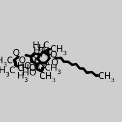 CCCCCCCCCCCC(=O)O[C@@]12C[C@@H](C)[C@]34C=C(C)[C@H](O)[C@@]3(O)[C@H](O)C(COC(=O)C(C)=C(C)C)=C[C@H](C4=O)[C@@H]1C2(C)C